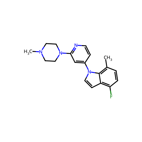 Cc1ccc(F)c2ccn(-c3ccnc(N4CCN(C)CC4)c3)c12